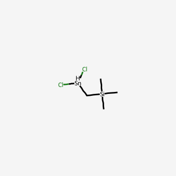 C[Si](C)(C)[CH2][SnH]([Cl])[Cl]